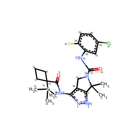 CC1(C)c2[nH]nc(NC(=O)C3([Si](C)(C)C)CCC3)c2CN1C(=O)Nc1cc(Cl)ccc1F